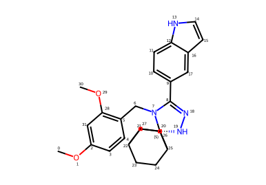 COc1ccc(CN2C(c3ccc4[nH]ccc4c3)=NN[C@]23CC2CCC3CC2)c(OC)c1